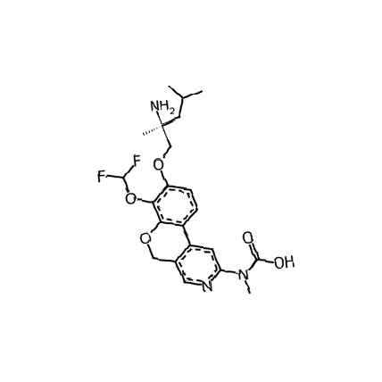 CC(C)C[C@](C)(N)COc1ccc2c(c1OC(F)F)OCc1cnc(N(C)C(=O)O)cc1-2